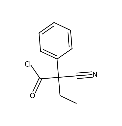 CCC(C#N)(C(=O)Cl)c1ccccc1